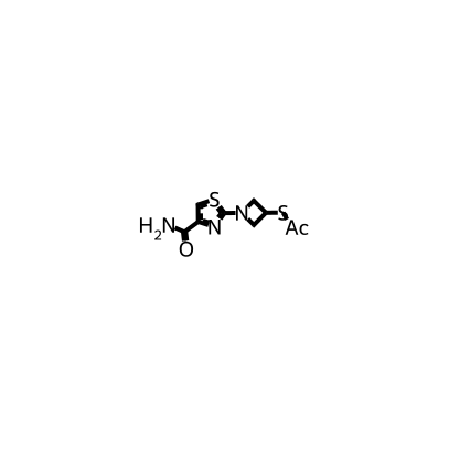 CC(=O)SC1CN(c2nc(C(N)=O)cs2)C1